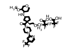 COCC[C@]1(C(=O)N2CCN(c3cc(C(F)(F)F)ccn3)CC2)CC[C@@H](N[C@@H]2CCOCC2OC)C1.O=C(O)C(F)(F)F.O=C(O)C(F)(F)F